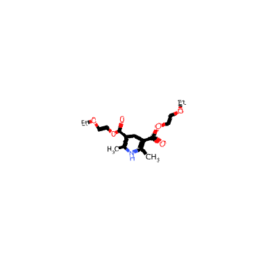 CCOCCOC(=O)C1=C(C)NC(C)=C(C(=O)OCCOCC)C1